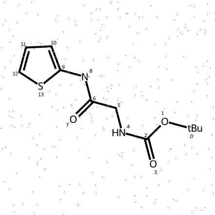 CC(C)(C)OC(=O)NCC(=O)[N]c1cccs1